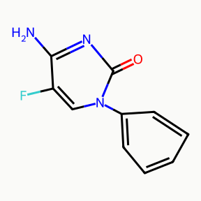 Nc1nc(=O)n(-c2ccccc2)cc1F